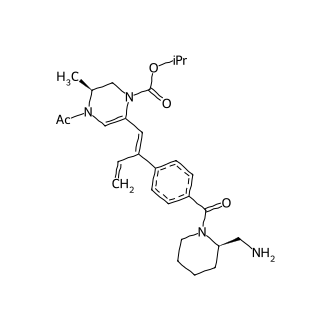 C=C/C(=C\C1=CN(C(C)=O)[C@@H](C)CN1C(=O)OC(C)C)c1ccc(C(=O)N2CCCC[C@@H]2CN)cc1